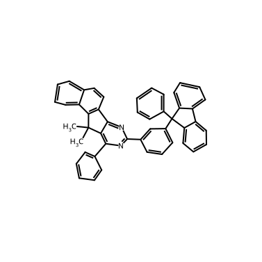 CC1(C)c2c(-c3ccccc3)nc(-c3cccc(C4(c5ccccc5)c5ccccc5-c5ccccc54)c3)nc2-c2ccc3ccccc3c21